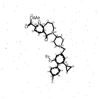 CCOc1cc(CN2CCC(N3CCCc4nc(C(=O)OC)ccc4C3=O)CC2)cc(C2CC2)c1-c1ccc(F)cc1